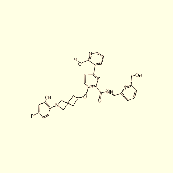 CCOc1ncccc1-c1ccc(OC2CC3(C2)CN(c2ccc(F)cc2C#N)C3)c(C(=O)NCc2cccc(CO)n2)n1